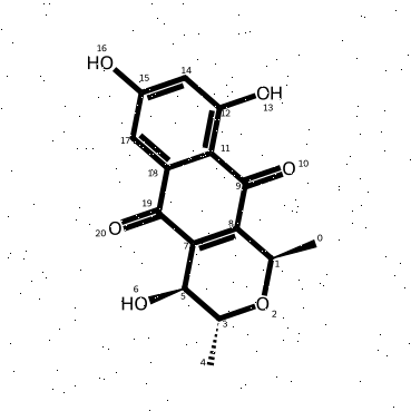 C[C@H]1O[C@H](C)[C@@H](O)C2=C1C(=O)c1c(O)cc(O)cc1C2=O